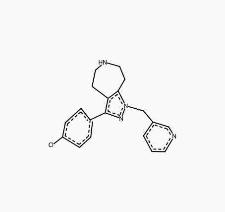 Clc1ccc(-c2nn(Cc3cccnc3)c3c2CCNCC3)cc1